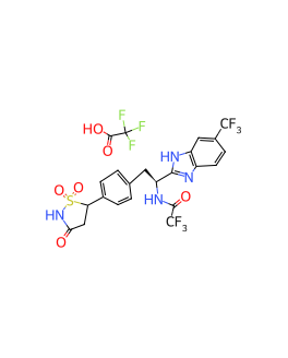 O=C(O)C(F)(F)F.O=C1CC(c2ccc(C[C@H](NC(=O)C(F)(F)F)c3nc4ccc(C(F)(F)F)cc4[nH]3)cc2)S(=O)(=O)N1